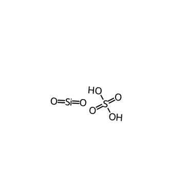 O=S(=O)(O)O.O=[Si]=O